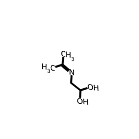 CC(C)=NCC(O)O